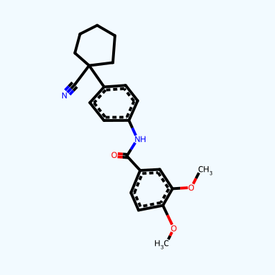 COc1ccc(C(=O)Nc2ccc(C3(C#N)CCCCC3)cc2)cc1OC